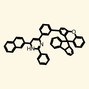 C1=CC2c3ccccc3C3(c4ccccc4Oc4ccc(-c5cccc(C6=CC(c7ccc8ccccc8c7)NC(c7ccccc7)=N6)c5)cc43)C2C=C1